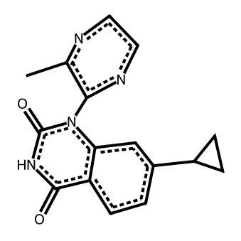 Cc1nccnc1-n1c(=O)[nH]c(=O)c2ccc(C3CC3)cc21